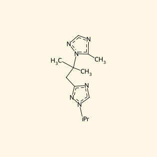 Cc1ncnn1C(C)(C)Cc1ncn(C(C)C)n1